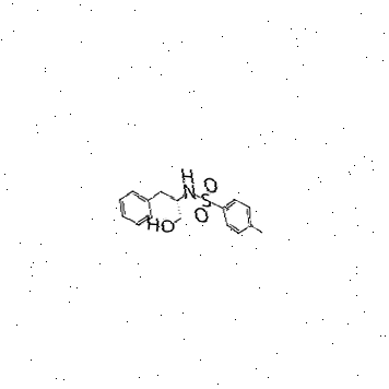 Cc1ccc(S(=O)(=O)N[C@H](CO)Cc2ccccc2)cc1